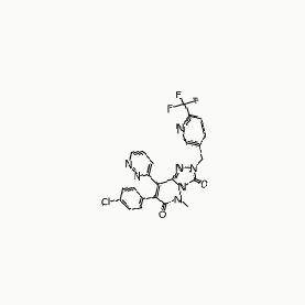 Cn1c(=O)c(-c2ccc(Cl)cc2)c(-c2cccnn2)c2nn(Cc3ccc(C(F)(F)F)nc3)c(=O)n21